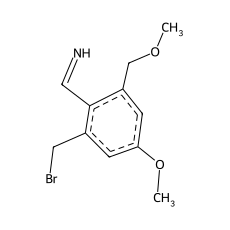 COCc1cc(OC)cc(CBr)c1C=N